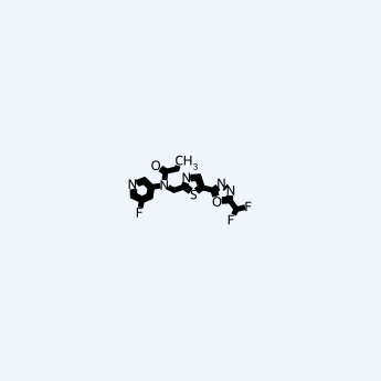 CCC(=O)N(Cc1ncc(-c2nnc(C(F)F)o2)s1)c1cncc(F)c1